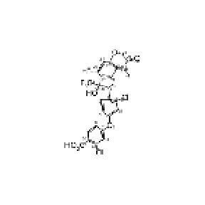 C[C@@H](c1ccc(Oc2ccc(C(=O)O)c(Cl)c2)cc1Cl)[C@](O)(c1cc2c(cc1F)OCC(=O)N2C)C(F)(F)F